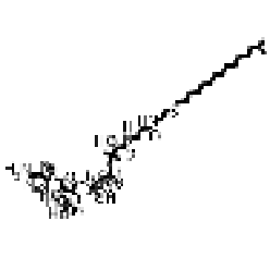 CC(C)CCCCCCCCCCCCCSCCNC(=O)CCNC(=O)[C@H](O)C(C)(C)COP(=O)(O)OP(=O)(O)OC[C@H]1O[C@@H](n2cnc3c(N)ncnc32)[C@H](O)[C@@H]1OP(=O)(O)O